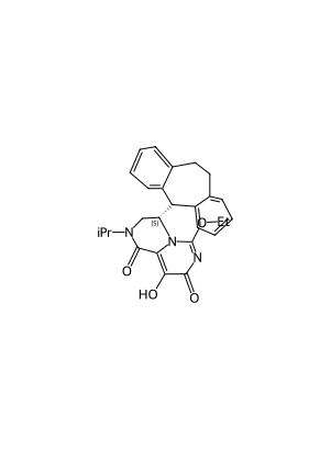 CCOc1nc(=O)c(O)c2n1[C@@H](C1c3ccccc3CCc3ccccc31)CN(C(C)C)C2=O